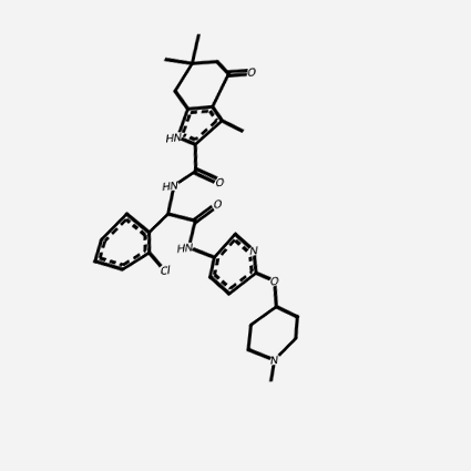 Cc1c(C(=O)NC(C(=O)Nc2ccc(OC3CCN(C)CC3)nc2)c2ccccc2Cl)[nH]c2c1C(=O)CC(C)(C)C2